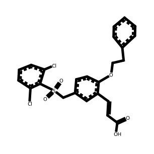 O=C(O)C=Cc1cc(CS(=O)(=O)c2c(Cl)cccc2Cl)ccc1OCCc1ccccc1